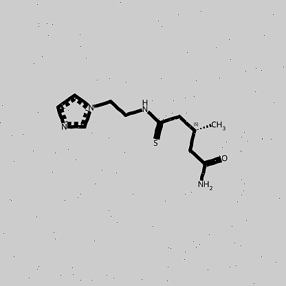 C[C@@H]([CH]C(=S)NCCn1ccnc1)CC(N)=O